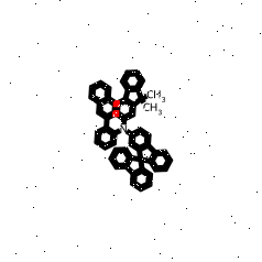 CC1(C)c2ccccc2-c2ccc(N(c3ccc4c(c3)C3(c5ccccc5-c5ccccc53)c3ccccc3-4)c3ccccc3-c3ccc4ccccc4c3)cc21